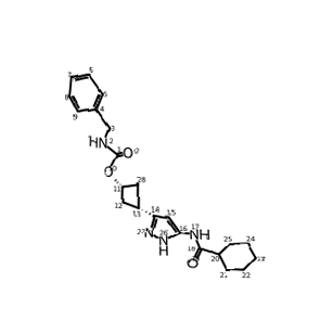 O=C(NCc1ccccc1)O[C@H]1C[C@@H](c2cc(NC(=O)C3CCCCC3)[nH]n2)C1